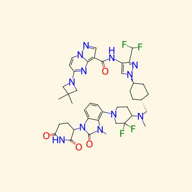 CN(C[C@H]1CC[C@H](n2cc(NC(=O)c3cnn4ccc(N5CC(C)(C)C5)nc34)c(C(F)F)n2)CC1)C1CCN(c2cccc3c2n(C)c(=O)n3C2CCC(=O)NC2=O)CC1(F)F